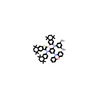 CC(C)(C)c1cc(N2c3cc4c(cc3B3c5sc6cc7c(cc6c5N(c5ccc6c(c5)C(C)(C)CCC6(C)C)c5cc(N6c8ccccc8Oc8ccccc86)cc2c53)C(C)(C)CCC7(C)C)C(C)(C)CCC4(C)C)cc(C(C)(C)C)c1